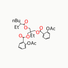 CCCCC(CC)C(=O)OCC(CC)(COC(=O)c1ccccc1OC(C)=O)COC(=O)c1ccccc1OC(C)=O